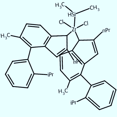 CCCC1=Cc2c(ccc(C)c2-c2ccccc2C(C)C)[CH]1[Zr]([Cl])([Cl])([CH]1C(CCC)=Cc2c1ccc(C)c2-c1ccccc1C(C)C)[SiH](C)C